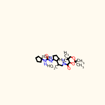 CCCCCCCCCCC1(NC(=O)NC2CCCC2C(CNC(=O)C2OC(C)(C)OCC2(C)C)C(=O)O)CCCC1